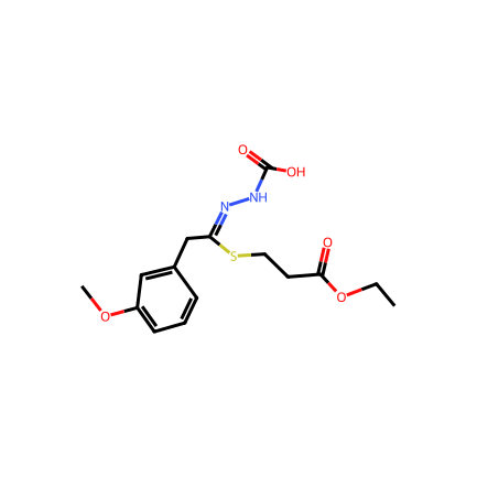 CCOC(=O)CCSC(Cc1cccc(OC)c1)=NNC(=O)O